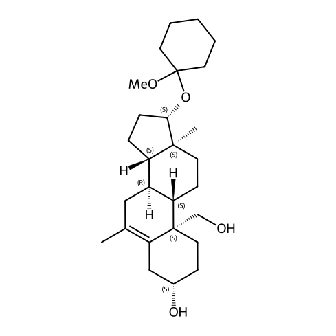 COC1(O[C@H]2CC[C@H]3[C@@H]4CC(C)=C5C[C@@H](O)CC[C@]5(CO)[C@H]4CC[C@]23C)CCCCC1